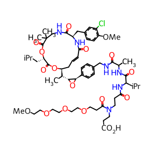 COCCOCCOCCOCCC(=O)N(CCC(=O)O)CCC(=O)NC(C(=O)NC(C)C(=O)NCc1ccc([C@H]2O[C@@H]2C(C)[C@@H]2C/C=C/C(=O)N[C@H](Cc3ccc(OC)c(Cl)c3)C(=O)NCC(C)(C)C(=O)O[C@@H](CC(C)C)C(=O)O2)cc1)C(C)C